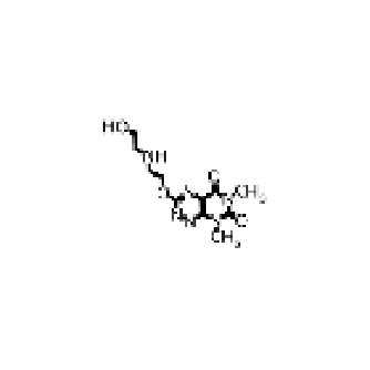 Cn1c(=O)c2nc(OCCNCCO)nnc2n(C)c1=O